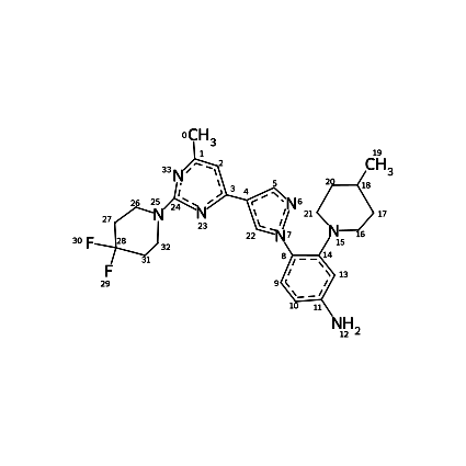 Cc1cc(-c2cnn(-c3ccc(N)cc3N3CCC(C)CC3)c2)nc(N2CCC(F)(F)CC2)n1